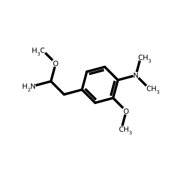 COc1cc(CC(N)OC)ccc1N(C)C